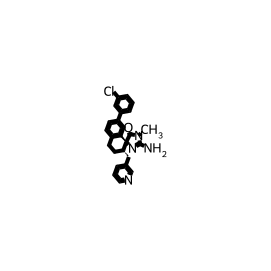 CN1C(=O)[C@@]2(N=C1N)c1cc(-c3cccc(Cl)c3)ccc1CC[C@H]2Cc1cccnc1